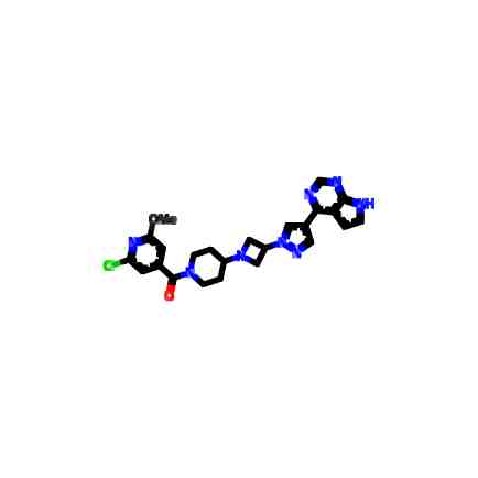 COc1cc(C(=O)N2CCC(N3C[C](n4cc(-c5ncnc6[nH]ccc56)cn4)C3)CC2)cc(Cl)n1